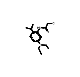 CCN(CC)c1ccc(C(C)C)c(NC(=O)CCl)c1